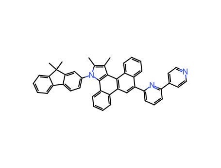 Cc1c(C)n(-c2ccc3c(c2)C(C)(C)c2ccccc2-3)c2c3ccccc3c3cc(-c4cccc(-c5ccncc5)n4)c4ccccc4c3c12